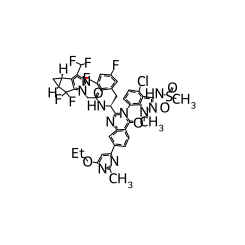 CCOc1cc(-c2ccc3c(=O)n(-c4ccc(Cl)c5c(NS(C)(=O)=O)nn(C)c45)c([C@H](Cc4cc(F)cc(F)c4)NC(=O)Cn4nc(C(F)F)c5c4C(F)(F)[C@@H]4C[C@H]54)nc3c2)nc(C)n1